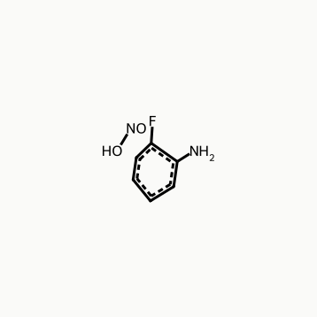 Nc1ccccc1F.O=NO